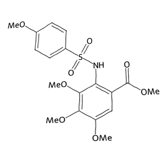 COC(=O)c1cc(OC)c(OC)c(OC)c1NS(=O)(=O)c1ccc(OC)cc1